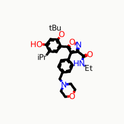 CCNC(=O)c1noc(-c2cc(C(C)C)c(O)cc2OC(C)(C)C)c1-c1ccc(CN2CCOCC2)cc1